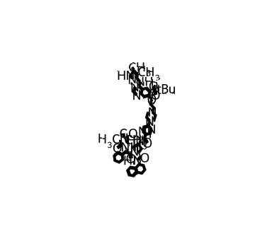 Cc1[nH]nc(Nc2ncnc3cc(OCCN4CCN(c5cnc(C(=O)N[C@H]6C[C@@H](C(=O)N[C@@H]7CCCc8ccccc87)N(C(=O)[C@@H](NC(=O)[C@H](C)N(C)C(=O)O)C7CCCCC7)C6)cn5)CC4)c(S(=O)(=O)C(C)(C)C)cc23)c1C